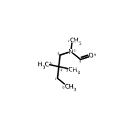 CCC(C)(C)CN(C)C=O